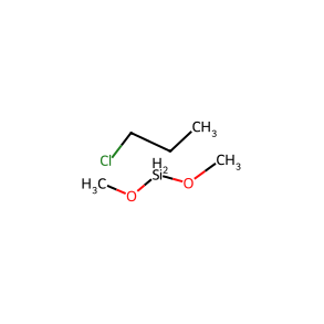 CCCCl.CO[SiH2]OC